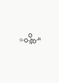 N#Cc1ccc2nc(-c3ccc([C]4CCC4)cc3)c(-c3ccccc3)n2c1